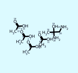 CC(=O)O.CC(=O)O.CC(=O)O.CC(=O)O.CC(N)(O)CN